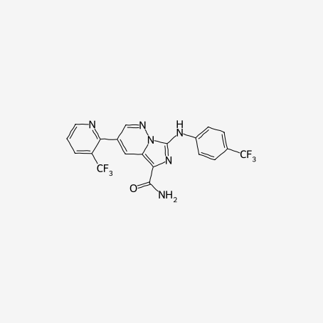 NC(=O)c1nc(Nc2ccc(C(F)(F)F)cc2)n2ncc(-c3ncccc3C(F)(F)F)cc12